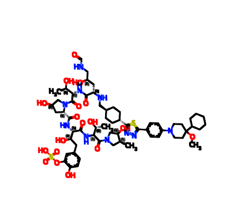 COC1(C2CCCCC2)CCN(c2ccc(-c3nnc([C@H]4CC[C@H](CN[C@@H](C[C@@H](O)CNC=O)C(=O)N[C@H](C(=O)N5C[C@H](O)C[C@H]5C(=O)N[C@H](C(=O)N[C@H](C(=O)N5C[C@@H](O)[C@@H](C)C5)[C@@H](C)O)[C@H](O)Cc5ccc(O)c(OS(=O)(=O)O)c5)[C@@H](C)O)CC4)s3)cc2)CC1